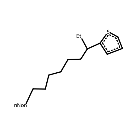 CCCCCCCCCCCCCCCC(CC)c1cccs1